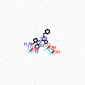 CC[C@@H]1CCc2nc(Cc3ccccc3)nc(N3CC4(CCNCC4)c4c(CN)cccc43)c21.O=C(O)C(F)(F)F.O=C(O)C(F)(F)F.O=C(O)C(F)(F)F